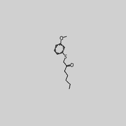 CCCCCC(=O)CSc1cccc(OC)c1